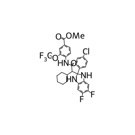 COC(=O)c1ccc(NC(=O)C(C2CCCCC2)C2(c3ccc(Cl)cc3)Nc3cc(F)c(F)cc3N2)c(OC(F)(F)F)c1